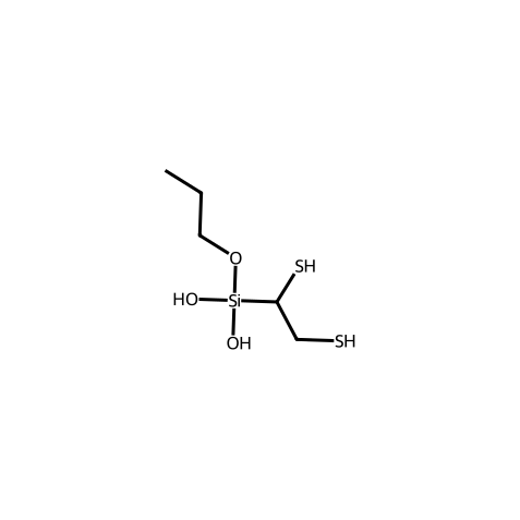 CCCO[Si](O)(O)C(S)CS